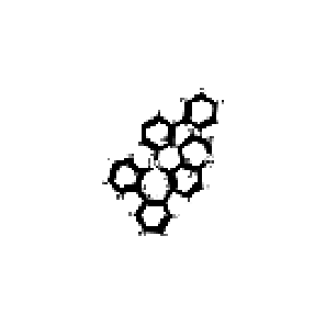 C1=CC(c2cccc(N3c4ccccc4C4=C(C=CCC4)c4ccc5c(c43)CCCO5)c2)=CCC1